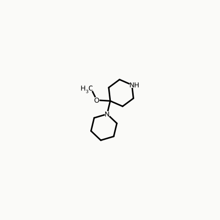 COC1(N2CCCCC2)CCNCC1